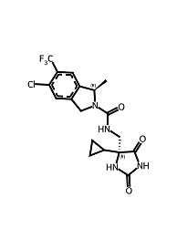 C[C@@H]1c2cc(C(F)(F)F)c(Cl)cc2CN1C(=O)NC[C@@]1(C2CC2)NC(=O)NC1=O